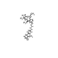 C=CCCc1ccc(OCCCCN2CCN(c3cccc(Cl)c3C)CC2)cc1N(C)COC(=C)C(C)C